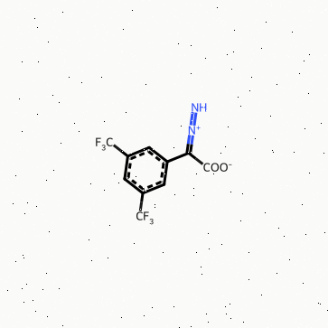 N=[N+]=C(C(=O)[O-])c1cc(C(F)(F)F)cc(C(F)(F)F)c1